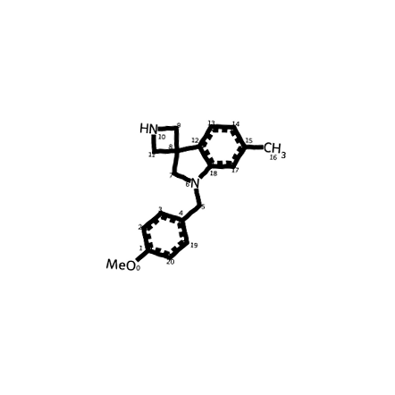 COc1ccc(CN2CC3(CNC3)c3ccc(C)cc32)cc1